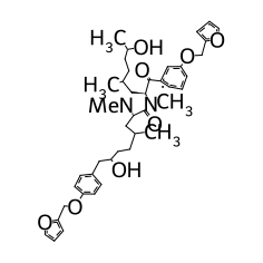 CN[C@@H](CC(C)CCC(O)Cc1ccc(OCc2ccco2)cc1)C(=O)N(C)[C@@H](CC(C)CCC(C)O)C(=O)c1[c]ccc(OCc2ccco2)c1